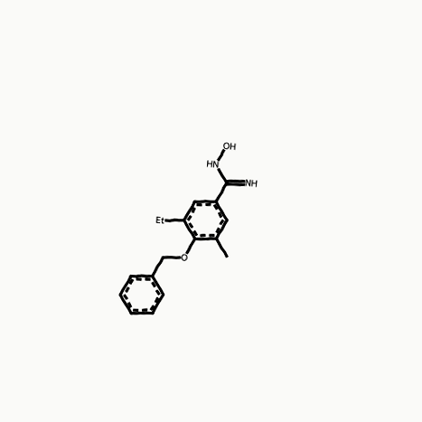 CCc1cc(C(=N)NO)cc(C)c1OCc1ccccc1